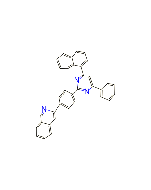 c1ccc(-c2cc(-c3cccc4ccccc34)nc(-c3ccc(-c4cc5ccccc5cn4)cc3)n2)cc1